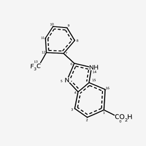 O=C(O)c1ccc2nc(-c3ccccc3C(F)(F)F)[nH]c2c1